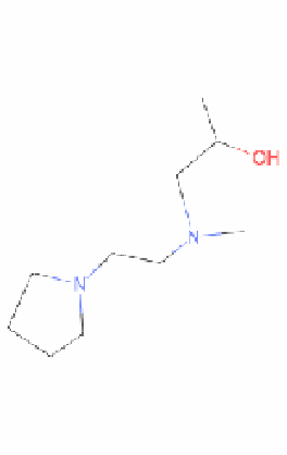 CC(O)CN(C)CCN1CCCC1